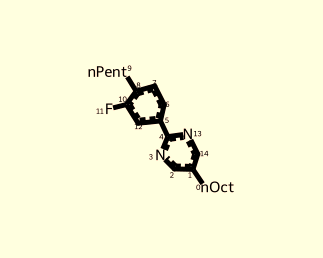 CCCCCCCCc1cnc(-c2ccc(CCCCC)c(F)c2)nc1